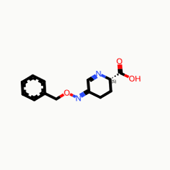 O=C(O)[C@@H]1CCC(=NOCc2ccccc2)C=N1